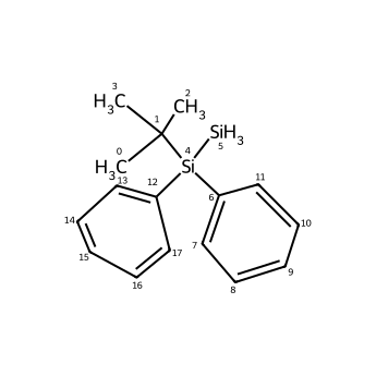 CC(C)(C)[Si]([SiH3])(c1ccccc1)c1ccccc1